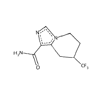 NC(=O)c1ncn2c1CC(C(F)(F)F)CC2